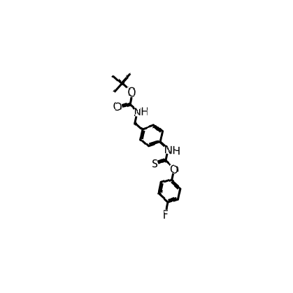 CC(C)(C)OC(=O)NCc1ccc(NC(=S)Oc2ccc(F)cc2)cc1